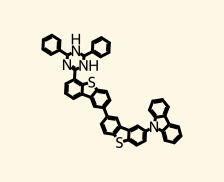 c1ccc(C2N=C(c3cccc4c3sc3ccc(-c5ccc6sc7ccc(-n8c9ccccc9c9ccccc98)cc7c6c5)cc34)NC(c3ccccc3)N2)cc1